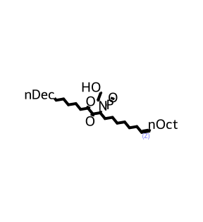 CCCCCCCC/C=C\CCCCCCC(C(=O)C(=O)CCCCCCCCCCCCCCC)N(CCO)P=O